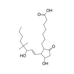 CCCCC(C)(C)C(O)C=CC1C(O)CC(=O)C1CCCCCCC(=O)O